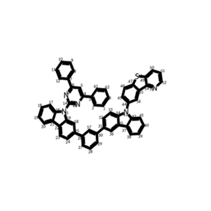 c1ccc(-c2cc(-c3ccccc3)nc(-n3c4ccccc4c4ccc(-c5cccc(-c6ccc7c(c6)c6ccccc6n7-c6ccc7sc8cccnc8c7c6)c5)cc43)n2)cc1